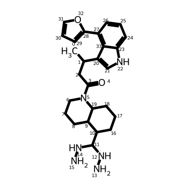 CC(CC(=O)N1CCCC2C(C(NN)NN)CCCC21)c1c[nH]c2cccc(-c3ccco3)c12